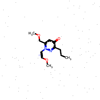 CCCc1nn(/C=C\OC)c(COC)cc1=O